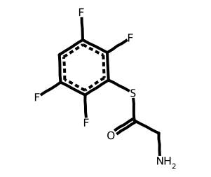 NCC(=O)Sc1c(F)c(F)cc(F)c1F